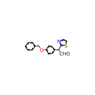 O=CC(c1ccc(OCc2ccccc2)cc1)c1nccs1